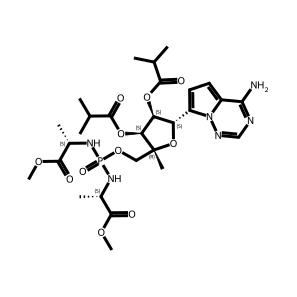 COC(=O)[C@H](C)NP(=O)(N[C@@H](C)C(=O)OC)OC[C@@]1(C)O[C@@H](c2ccc3c(N)ncnn23)[C@H](OC(=O)C(C)C)[C@@H]1OC(=O)C(C)C